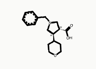 O=C(O)[C@H]1CN(Cc2ccccc2)C[C@@H]1C1CCOCC1